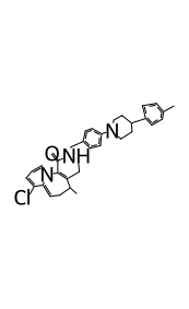 CCC1=C(C(=O)NCc2ccc(N3CCC(c4ccc(C)cc4)CC3)cc2)N2C=CC=C(Cl)C2=CCC1C